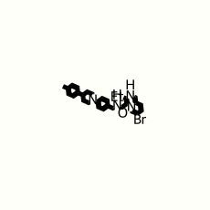 CCC1=C(C(=O)NCc2ccc(N3CCC(c4ccc(C)cc4)CC3)cc2)N2C=C(Br)C=CC2=CN1